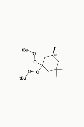 C[C@H]1CC(C)(C)CC(OOC(C)(C)C)(OOC(C)(C)C)C1